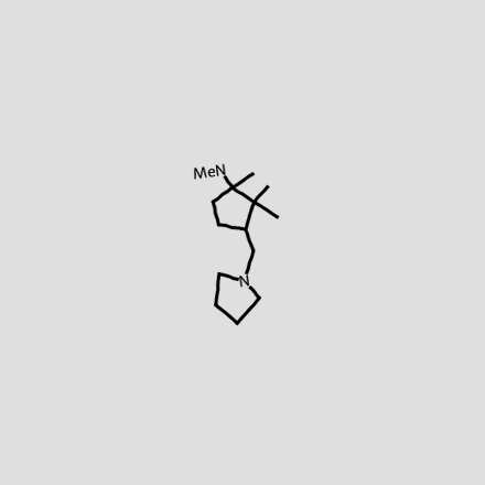 CNC1(C)CCC(CN2CCCC2)C1(C)C